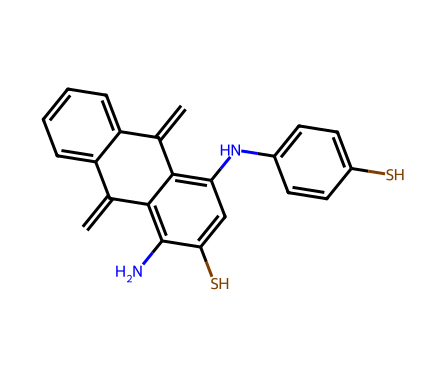 C=c1c2ccccc2c(=C)c2c(N)c(S)cc(Nc3ccc(S)cc3)c12